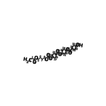 C=CC(=O)OCCCCOC(=O)Oc1ccc(C(=O)Oc2ccc(OC(=O)c3ccc(O)cc3)cc2)cc1